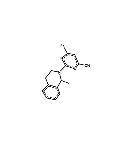 CCc1cc(O)nc(N2CCc3ccccc3C2C)n1